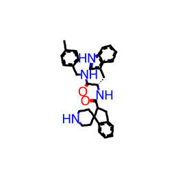 Cc1ccc(CNC(=O)[C@H](Cc2c[nH]c3ccccc23)NC(=O)C2Cc3ccccc3C23CCNCC3)cc1